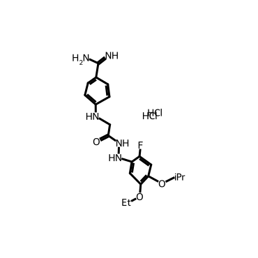 CCOc1cc(NNC(=O)CNc2ccc(C(=N)N)cc2)c(F)cc1OC(C)C.Cl.Cl